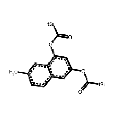 CC(C)(C)C(=O)Oc1cc(OC(=O)C(C)(C)C)c2cc(C(F)(F)F)ccc2c1